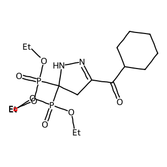 CCOP(=O)(OCC)C1(P(=O)(OCC)OCC)CC(C(=O)C2CCCCC2)=NN1